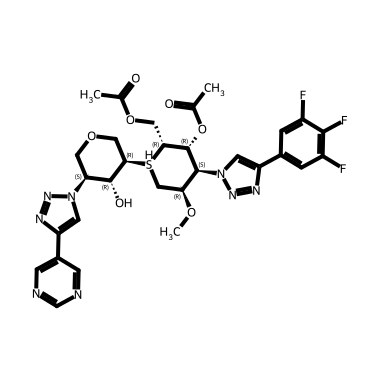 CO[C@H]1C[SH]([C@@H]2COC[C@H](n3cc(-c4cncnc4)nn3)[C@H]2O)[C@H](COC(C)=O)[C@H](OC(C)=O)[C@H]1n1cc(-c2cc(F)c(F)c(F)c2)nn1